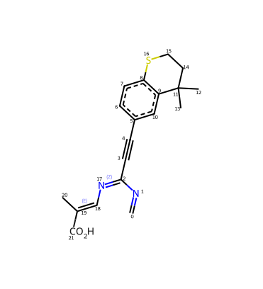 C=N/C(C#Cc1ccc2c(c1)C(C)(C)CCS2)=N\C=C(/C)C(=O)O